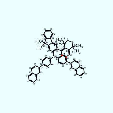 CC1(C)CCC(C)(C)c2c(-c3cc4c(cc3N(c3ccc(-c5ccc6ccccc6c5)cc3)c3ccc(-c5ccc6ccccc6c5)cc3)C(C)(C)c3ccccc3-4)cccc21